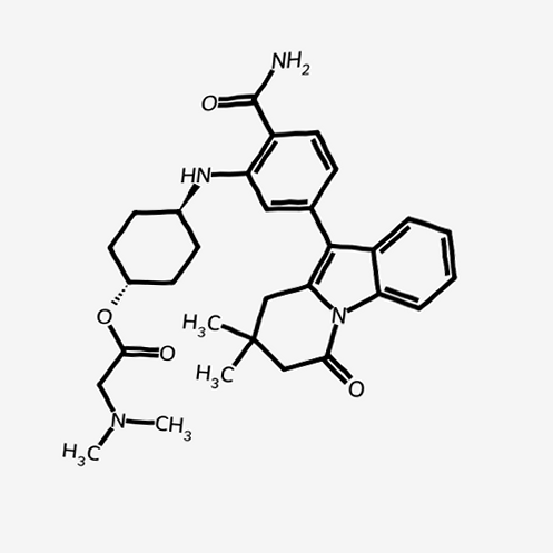 CN(C)CC(=O)O[C@H]1CC[C@H](Nc2cc(-c3c4n(c5ccccc35)C(=O)CC(C)(C)C4)ccc2C(N)=O)CC1